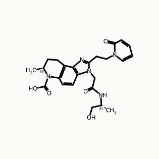 C[C@H](CO)NC(=O)Cn1c(CCn2ccccc2=O)nc2c3c(ccc21)N(C(=O)O)[C@@H](C)CC3